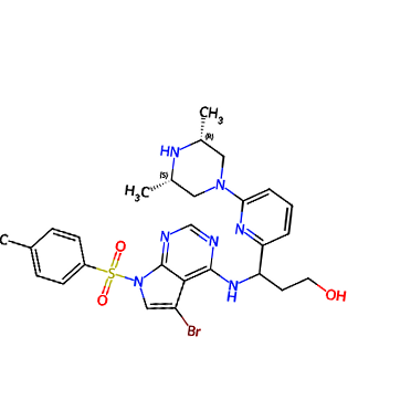 Cc1ccc(S(=O)(=O)n2cc(Br)c3c(NC(CCO)c4cccc(N5C[C@@H](C)N[C@@H](C)C5)n4)ncnc32)cc1